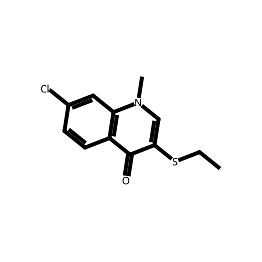 CCSc1cn(C)c2cc(Cl)ccc2c1=O